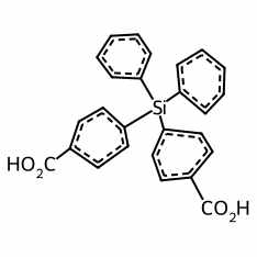 O=C(O)c1ccc([Si](c2ccccc2)(c2ccccc2)c2ccc(C(=O)O)cc2)cc1